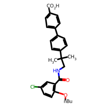 CCCCOc1ccc(Cl)cc1C(=O)NCC(C)(C)c1ccc(-c2ccc(C(=O)O)cc2)cc1